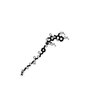 CCc1c2c(nc3ccc(C)cc13)-c1cc3c(c(=O)n1C2)COC(=O)[C@@]3(CC)OC(=O)OCc1ccc(CC(=O)COCC(=O)NCCOCCOCCN=[N+]=[N-])cc1